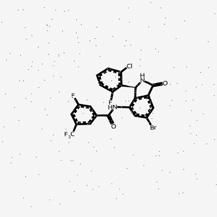 O=C(Nc1cc(Br)cc2c1[C@@H](c1c(F)cccc1Cl)NC2=O)c1cc(F)cc(C(F)(F)F)c1